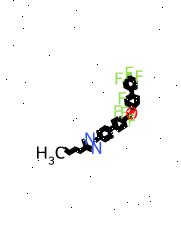 CCCCCc1cnc(-c2ccc(-c3ccc(C(F)(F)Oc4ccc(-c5cc(F)c(F)c(F)c5)c(F)c4)c(F)c3)cc2)nc1